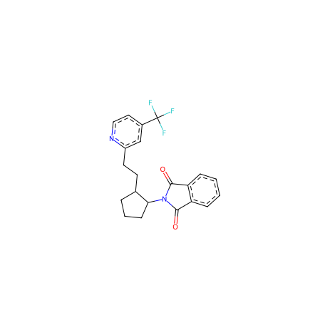 O=C1c2ccccc2C(=O)N1C1CCCC1CCc1cc(C(F)(F)F)ccn1